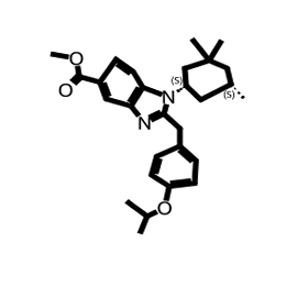 COC(=O)c1ccc2c(c1)nc(Cc1ccc(OC(C)C)cc1)n2[C@H]1C[C@@H](C)CC(C)(C)C1